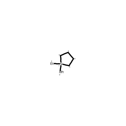 CCC[Si]1(CC)CCCC1